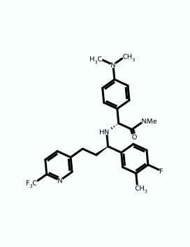 CNC(=O)[C@H](N[C@H](CCc1ccc(C(F)(F)F)nc1)c1ccc(F)c(C)c1)c1ccc(N(C)C)cc1